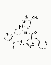 CC(C)C[C@@H](BO)NC(=O)C1(Cc2ccccc2)CC(CNC(=O)c2ccnn2C2CCCC2)=NO1